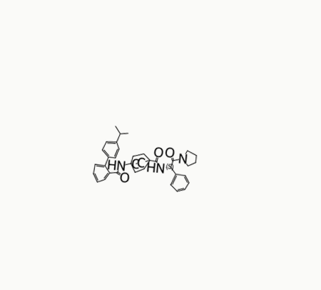 CC(C)c1ccc(-c2ccccc2C(=O)NC23CCC(C(=O)N[C@H](C(=O)N4CCCC4)c4ccccc4)(CC2)CC3)cc1